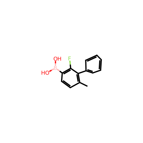 Cc1ccc(B(O)O)c(F)c1-c1ccccc1